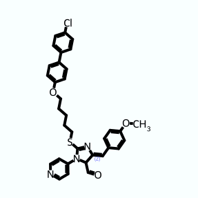 COc1ccc(/C=C2\N=C(SCCCCCOc3ccc(-c4ccc(Cl)cc4)cc3)N(c3ccncc3)C2C=O)cc1